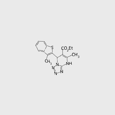 CCOC(=O)C1=C(C)Nc2nnnn2C1c1sc2ccccc2c1C